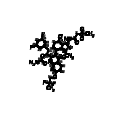 Cn1nc(NC(=O)CS(C)(=O)=O)c2c(Cl)ccc(-n3c(C(Cc4cc(F)cc(F)c4)OC(N)=O)nc4nc(OCC(F)(F)C(F)(F)F)ccc4c3=O)c21